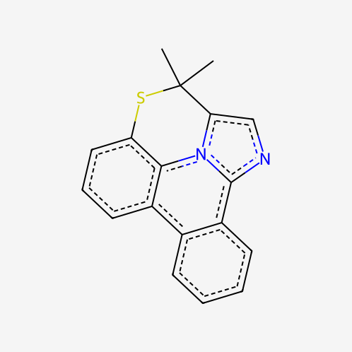 CC1(C)Sc2cccc3c4ccccc4c4ncc1n4c23